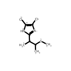 CSC(C)C(C)c1nc(Cl)c(Cl)[nH]1